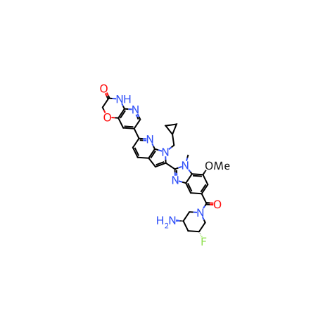 COc1cc(C(=O)N2C[C@H](N)C[C@@H](F)C2)cc2nc(-c3cc4ccc(-c5cnc6c(c5)OCC(=O)N6)nc4n3CC3CC3)n(C)c12